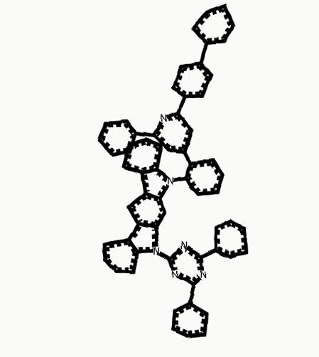 c1ccc(-c2ccc(-c3cc(-c4ccccc4-n4c5ccccc5c5cc6c7ccccc7n(-c7nc(-c8ccccc8)nc(-c8ccccc8)n7)c6cc54)cc(-c4ccccc4)n3)cc2)cc1